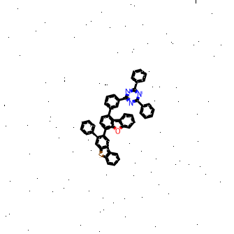 c1ccc(-c2nc(-c3ccccc3)nc(-c3cccc(-c4ccc(-c5cc6c(cc5-c5ccccc5)sc5ccccc56)c5oc6ccccc6c45)c3)n2)cc1